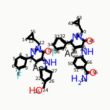 CC(=O)c1c(-c2cccc(F)c2)nn(CC2CC2)c(=O)c1Nc1ccc(CO)cc1.CC(=O)c1c(-c2cccc(F)c2)nn(CC2CC2)c(=O)c1Nc1cccc(C(N)=O)c1